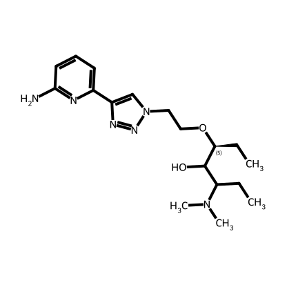 CCC(C(O)[C@H](CC)OCCn1cc(-c2cccc(N)n2)nn1)N(C)C